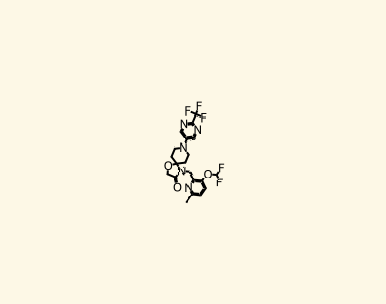 Cc1ccc(OC(F)F)c(CN2C(=O)COC23CCN(c2cnc(C(F)(F)F)nc2)CC3)n1